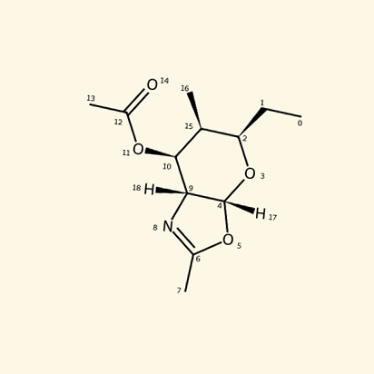 CC[C@H]1O[C@@H]2OC(C)=N[C@@H]2[C@@H](OC(C)=O)[C@H]1C